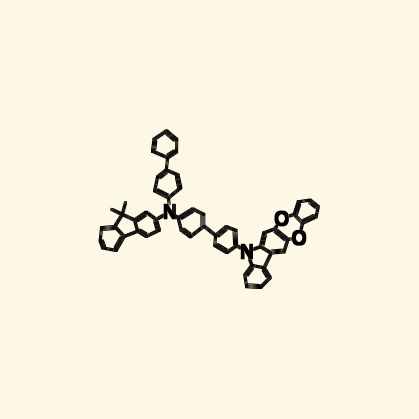 CC1(C)c2ccccc2-c2ccc(N(c3ccc(-c4ccccc4)cc3)c3ccc(-c4ccc(-n5c6ccccc6c6cc7c(cc65)Oc5ccccc5O7)cc4)cc3)cc21